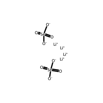 O=[Se](=O)([O-])[O-].O=[Se](=O)([O-])[O-].[Li+].[Li+].[Li+].[Li+]